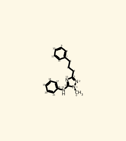 Cn1nc(CCCc2ccccc2)nc1Nc1ccccc1